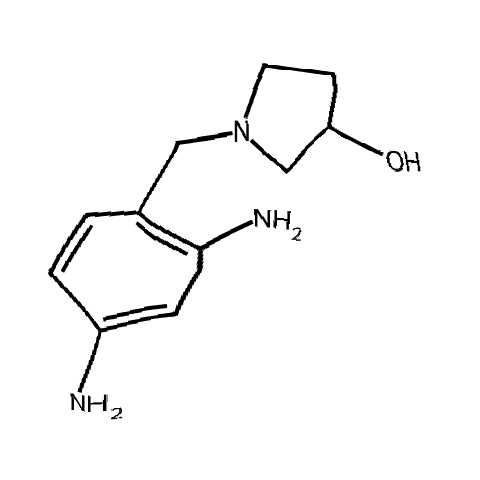 Nc1ccc(CN2CCC(O)C2)c(N)c1